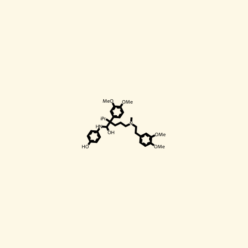 COc1ccc(CCN(C)CCCC(c2ccc(OC)c(OC)c2)(C(C)C)C(O)Nc2ccc(O)cc2)cc1OC